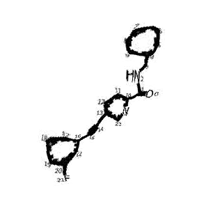 O=C(NCc1ccccc1)c1ccc(C#Cc2cccc(F)c2)cn1